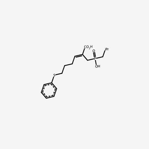 CC(C)CP(=O)(O)CC(=CCCCSc1ccccc1)C(=O)O